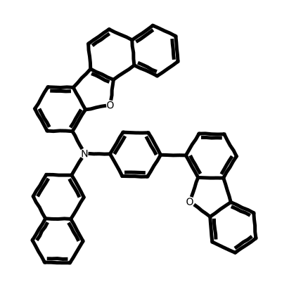 c1ccc2cc(N(c3ccc(-c4cccc5c4oc4ccccc45)cc3)c3cccc4c3oc3c5ccccc5ccc43)ccc2c1